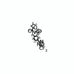 O=C(C1CCCO1)N(Cc1ccc(-c2noc(C(F)(F)F)n2)cc1)C1COC1